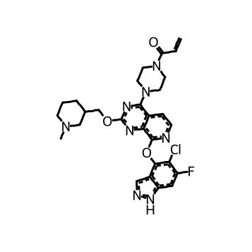 C=CC(=O)N1CCN(c2nc(OCC3CCCN(C)C3)nc3c(Oc4c(Cl)c(F)cc5[nH]ncc45)nccc23)CC1